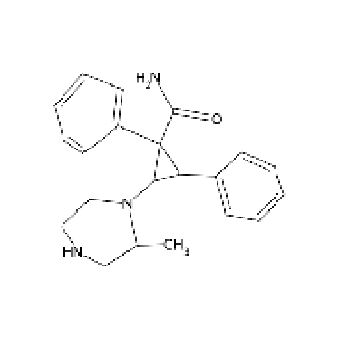 CC1CNCCN1C1C(c2ccccc2)C1(C(N)=O)c1ccccc1